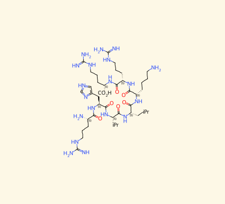 CC(C)C[C@H](NC(=O)[C@@H](NC(=O)[C@H](Cc1c[nH]cn1)NC(=O)[C@@H](N)CCCNC(=N)N)C(C)C)C(=O)N[C@@H](CCCCN)C(=O)N[C@@H](CCCNC(=N)N)C(=O)N[C@@H](CCCNC(=N)N)C(=O)O